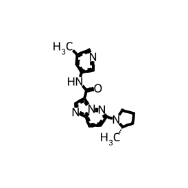 Cc1cncc(NC(=O)c2cnc3ccc(N4CCC[C@@H]4C)nn23)c1